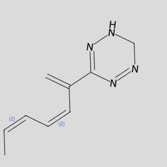 C=C(/C=C\C=C/C)C1=NNCN=N1